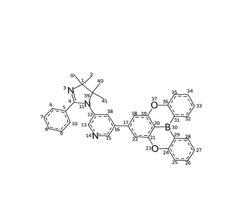 CC1(C)N=C(c2ccccc2)N(c2cncc(-c3cc4c5c(c3)Oc3ccccc3B5c3ccccc3O4)c2)C1(C)C